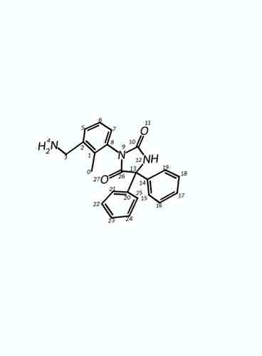 Cc1c(CN)cccc1N1C(=O)NC(c2ccccc2)(c2ccccc2)C1=O